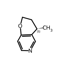 C[C@H]1CCOc2ccncc21